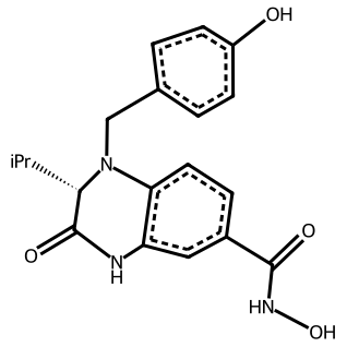 CC(C)[C@H]1C(=O)Nc2cc(C(=O)NO)ccc2N1Cc1ccc(O)cc1